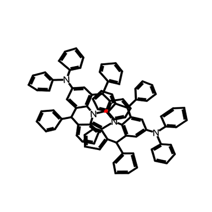 C1=CN(c2c(C(c3ccccc3)c3ccccc3)cc(N(c3ccccc3)c3ccccc3)cc2C(c2ccccc2)c2ccccc2)CN1c1c(C(c2ccccc2)c2ccccc2)cc(N(c2ccccc2)c2ccccc2)cc1C(c1ccccc1)c1ccccc1